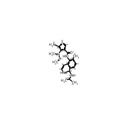 C=NN(C)c1c(C(=O)Nc2c(C)ccc3c2C=CNC3NC(C)C)csc1N